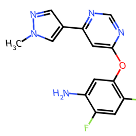 Cn1cc(-c2cc(Oc3cc(N)c(F)cc3F)ncn2)cn1